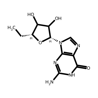 CC[C@H]1O[C@@H](n2cnc3c(=O)[nH]c(N)nc32)C(O)C1O